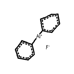 [F-].c1cc[c]([Al+][c]2ccccc2)cc1